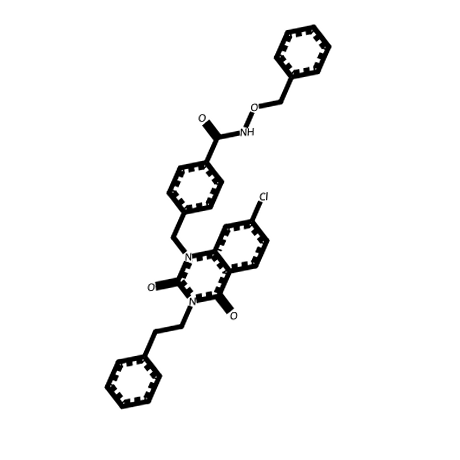 O=C(NOCc1ccccc1)c1ccc(Cn2c(=O)n(CCc3ccccc3)c(=O)c3ccc(Cl)cc32)cc1